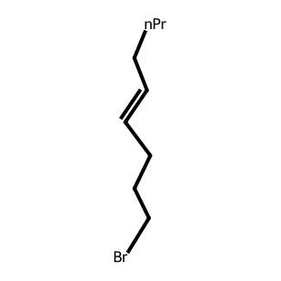 CCCC/C=C/CCCBr